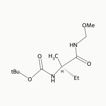 CC[C@@](C)(NC(=O)OC(C)(C)C)C(=O)NCOC